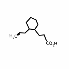 C=CCC1CCCCC1CCC(=O)O